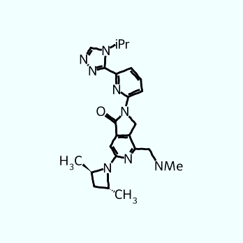 CNCc1nc(N2[C@H](C)C[C@H]2C)cc2c1CN(c1cccc(-c3nncn3C(C)C)n1)C2=O